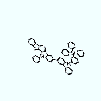 c1ccc(-n2c3ccc(-c4ccc5c(c4)c4ccccc4n5-c4cccc([Si](c5ccccc5)(c5ccccc5)c5ccccc5)c4)cc3c3ccc4c5ccccc5sc4c32)cc1